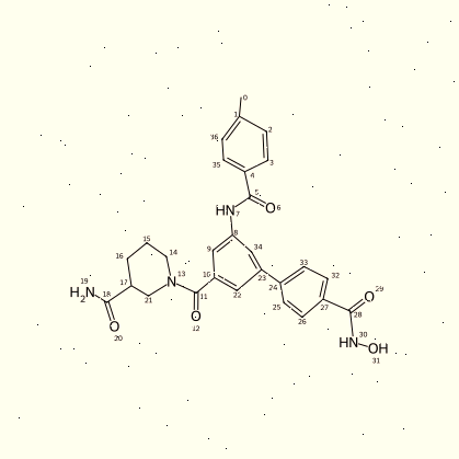 Cc1ccc(C(=O)Nc2cc(C(=O)N3CCCC(C(N)=O)C3)cc(-c3ccc(C(=O)NO)cc3)c2)cc1